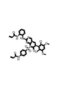 C=CC(=O)Nc1ccc(S(=O)(=O)n2c(=O)c(-c3c(Cl)c(OC)cc(OC)c3Cl)cc3cnc(Nc4ccccc4NC(=O)C=C)nc32)cc1